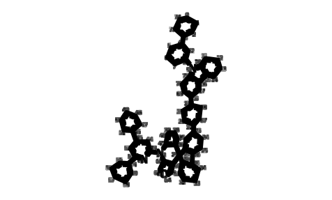 c1ccc(-c2cccc(-n3c4ccccc4c4cc(-c5ccc(-c6ccc7c(c6)C6(c8ccccc8-7)c7ccccc7N(c7cc(-c8ccccc8)cc(-c8ccccc8)n7)c7ccccc76)cc5)ccc43)c2)cc1